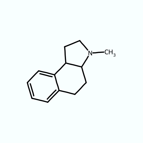 CN1CCC2c3ccccc3CCC21